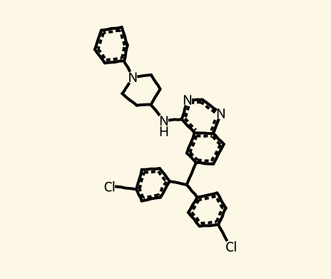 Clc1ccc(C(c2ccc(Cl)cc2)c2ccc3ncnc(NC4CCN(c5ccccc5)CC4)c3c2)cc1